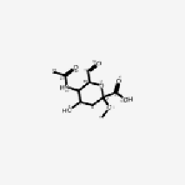 COC1(C(=O)O)CC(O)C(NC(C)=O)C(C=O)O1